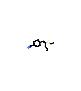 CCC/C(=C\c1ccc(C#N)cc1)SCC